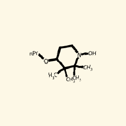 CCCOC1CCN(O)C(C)(C)C1(C)C